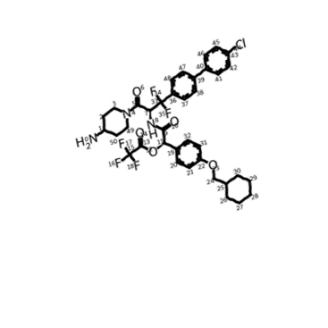 NC1CCN(C(=O)[C@H](NC(=O)[C@H](OC(=O)C(F)(F)F)c2ccc(OCC3CCCCC3)cc2)C(F)(F)c2ccc(-c3ccc(Cl)cc3)cc2)CC1